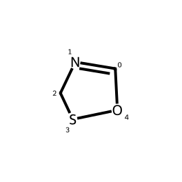 C1=NCSO1